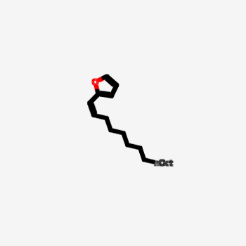 CCCCCCCCCCCCCC/C=C\c1ccco1